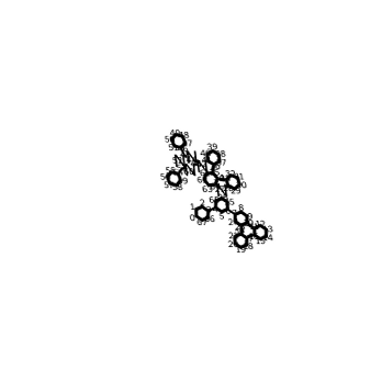 c1ccc(-c2cc(-c3ccc4c5ccccc5c5ccccc5c4c3)cc(-n3c4ccccc4c4c5c6ccccc6n(-c6nc(-c7ccccc7)nc(-c7ccccc7)n6)c5ccc43)c2)cc1